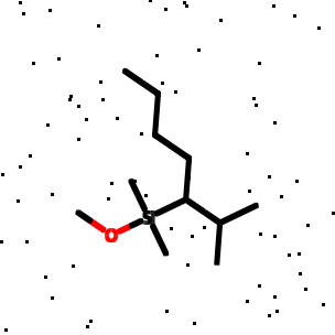 CCCCC(C(C)C)[Si](C)(C)OC